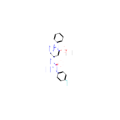 CCOc1c/c(=N\C(=O)Nc2ccc(F)cc2)cnn1-c1ccccc1